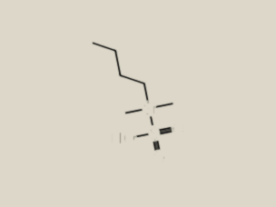 CCCC[Si](C)(C)S(=O)(=O)O